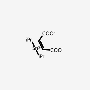 C[CH](C)[Sn+2][CH](C)C.O=C([O-])/C=C\C(=O)[O-]